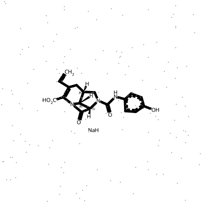 C=CC1=C(C(=O)O)N2C(=O)[C@@H]3[C@H]2[C@H](C1)CN3C(=O)Nc1ccc(O)cc1.[NaH]